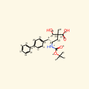 CC(C)(C)OC(=O)N[C@H](Cc1ccc(-c2ccccc2)cc1)CC(C)(CO)C(=O)O